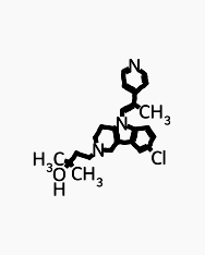 C/C(=C\n1c2c(c3cc(Cl)ccc31)CN(CCC(C)(C)O)CC2)c1ccncc1